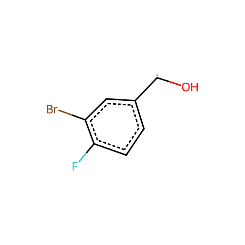 O[CH]c1ccc(F)c(Br)c1